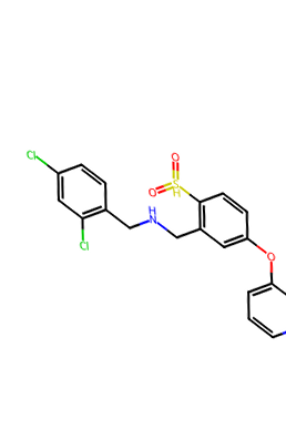 O=[SH](=O)c1ccc(Oc2cccnc2)cc1CNCc1ccc(Cl)cc1Cl